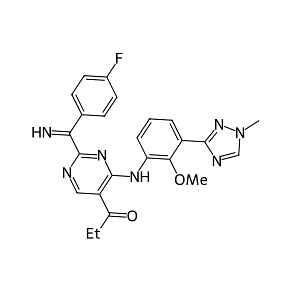 CCC(=O)c1cnc(C(=N)c2ccc(F)cc2)nc1Nc1cccc(-c2ncn(C)n2)c1OC